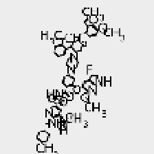 CCOc1nc2[nH]cc(F)c2cc1Oc1cc(N2CCN(C3CCC(Cc4ccc(OC)c5oc(C)cc45)CC3c3ccccc3C(C)C)CC2)ccc1C(=O)NS(=O)(=O)c1cnc(NC[C@H]2CC[C@@H](C)CC2)c([NH+](C)[O-])c1